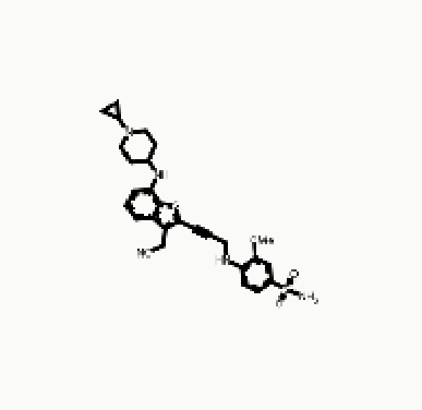 COc1cc(S(N)(=O)=O)ccc1NCC#Cc1sc2c(NC3CCN(C4CC4)CC3)cccc2c1CC#N